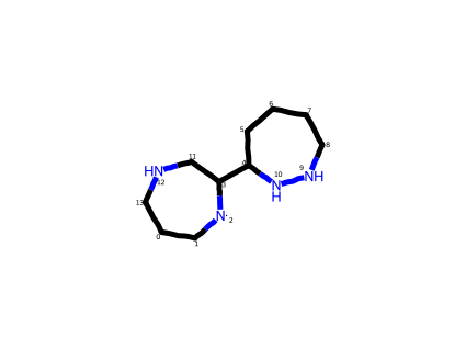 C1C[N]C(C2CCCCNN2)CNC1